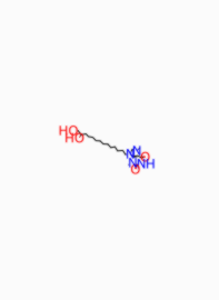 CN1CN(CCCCCCCCCCCCC(O)CO)c2c1c(=O)[nH]c(=O)n2C